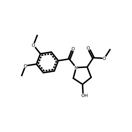 COC(=O)C1CC(O)CN1C(=O)c1ccc(OC)c(OC)c1